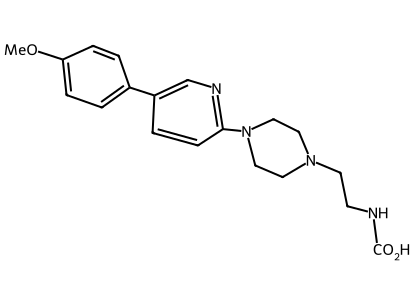 COc1ccc(-c2ccc(N3CCN(CCNC(=O)O)CC3)nc2)cc1